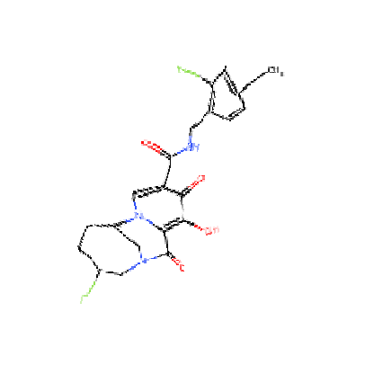 Cc1ccc(CNC(=O)c2cn3c(c(O)c2=O)C(=O)N2CC(F)CCC3C2)c(F)c1